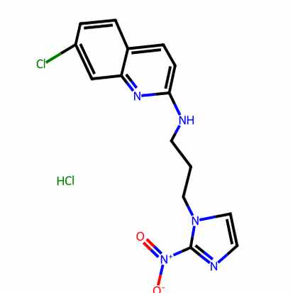 Cl.O=[N+]([O-])c1nccn1CCCNc1ccc2ccc(Cl)cc2n1